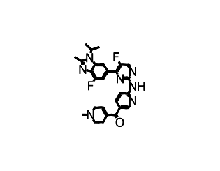 Cc1nc2c(F)cc(-c3nc(Nc4ccc(C(=O)C5=CCN(C)CC5)cn4)ncc3F)cc2n1C(C)C